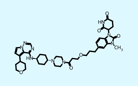 Cn1c(=O)n(C2CCC(=O)NC2=O)c2ccc(CCCOCCC(=O)N3CCN([C@H]4CC[C@H](Nc5ncnn6ccc(C7CCOCC7)c56)CC4)CC3)cc21